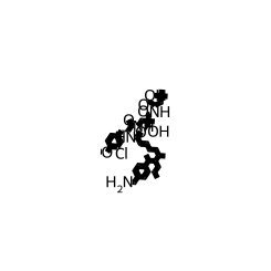 CCCC(C(C)CC/C=C/C(=O)N[C@H](Cc1ccc(OC)c(Cl)c1)C(=O)NCC(C)(CO)C(=O)NC(CC(C)(C)C)C(=O)O)C(C)c1ccc(CN)cc1